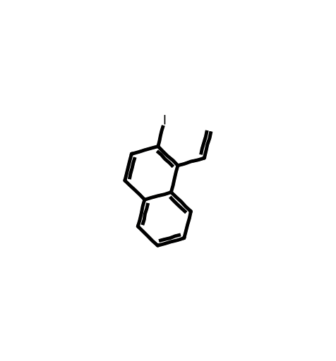 C=Cc1c(I)ccc2ccccc12